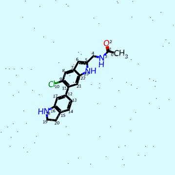 CC(=O)NCc1cc2cc(Cl)c(-c3ccc4c(c3)NCC4)cc2[nH]1